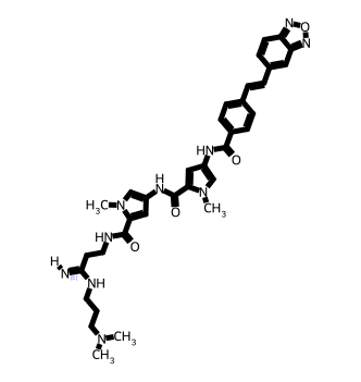 [H]/N=C(\CCNC(=O)c1cc(NC(=O)c2cc(NC(=O)c3ccc(C=Cc4ccc5nonc5c4)cc3)cn2C)cn1C)NCCCN(C)C